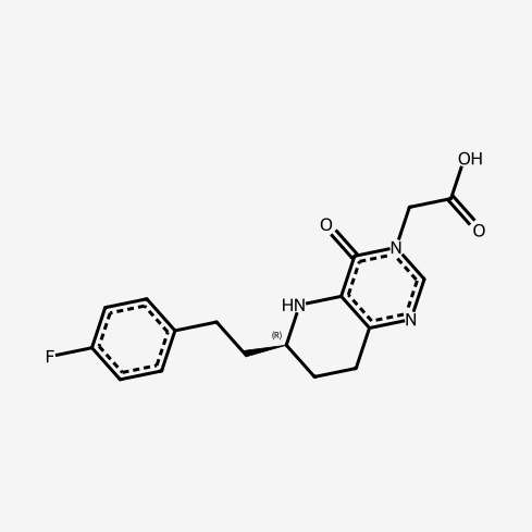 O=C(O)Cn1cnc2c(c1=O)N[C@H](CCc1ccc(F)cc1)CC2